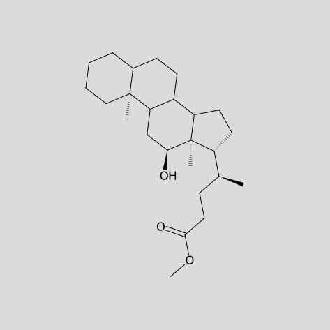 COC(=O)CC[C@H](C)[C@H]1CCC2C3CCC4CCCC[C@]4(C)C3C[C@H](O)[C@@]21C